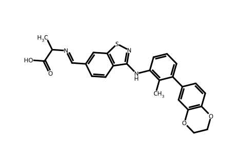 Cc1c(Nc2nsc3cc(C=NC(C)C(=O)O)ccc23)cccc1-c1ccc2c(c1)OCCO2